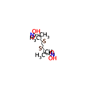 CC(C)(CCC(=S)CCC(=S)CCC(C)(C)Cc1conc1O)Cc1conc1O